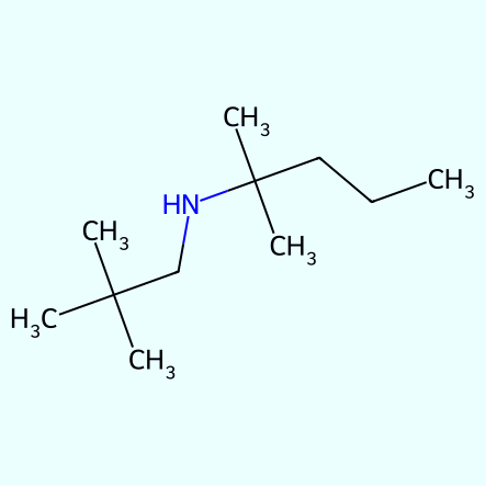 CCCC(C)(C)NCC(C)(C)C